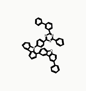 c1ccc(-c2cccc(-c3nc(-c4ccccc4)nc(-c4ccc(-n5c6ccccc6c6cccc(-c7ccc8oc9ccc(-c%10ccccc%10)cc9c8c7)c65)cc4)n3)c2)cc1